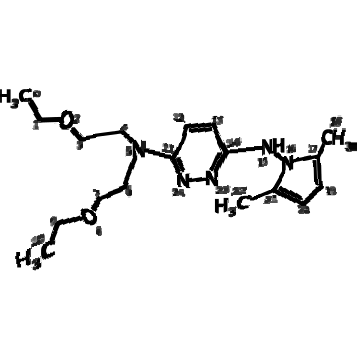 CCOCCN(CCOCC)c1ccc(Nn2c(C)ccc2C)nn1